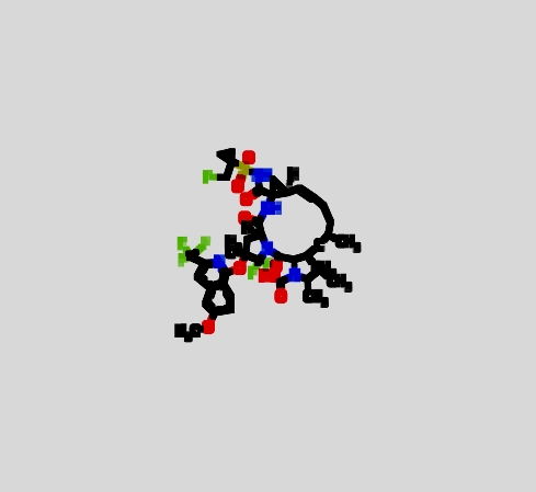 CCC(C)N(C(=O)O)[C@@H]1C(=O)N2[C@@H](C[C@@](C)(Oc3nc(C(F)(F)F)cc4cc(OC)ccc34)C2(F)F)C(=O)N[C@]2(C(=O)NS(=O)(=O)C3(CF)CC3)C[C@H]2/C=C\CC[C@@H](C)C[C@H]1C